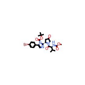 COC(=O)N[C@H](C(=O)N1CC(=O)C[C@H]1c1ncc(-c2ccc(Br)cc2)n1C(=O)OC(C)(C)C)C(C)C